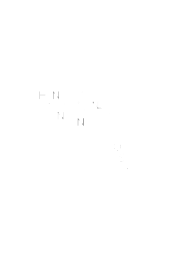 CC(C)(C)[Si](C)(C)OC[C@H]1CC[C@H](n2ccc3c(N)ncnc32)C1